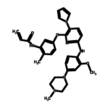 C=CC(=O)Nc1cc(Oc2nc(Nc3ccc(N4CCN(C)CC4)cc3OC)ccc2-n2cccc2)ccc1C